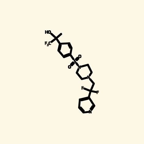 CC(O)(c1ccc(S(=O)(=O)N2CCN(CC(F)(F)c3cccnc3)CC2)cc1)C(F)(F)F